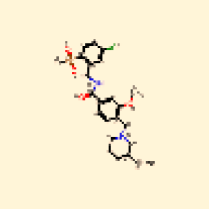 CCS(=O)(=O)c1ccc(Cl)cc1CNC(=O)c1ccc(CN2CCCC(NC(C)=O)C2)c(OC(F)(F)F)c1